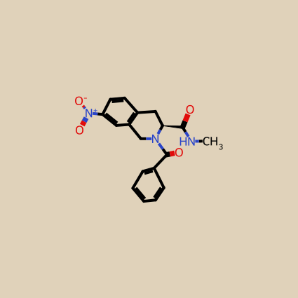 CNC(=O)[C@@H]1Cc2ccc([N+](=O)[O-])cc2CN1C(=O)c1ccccc1